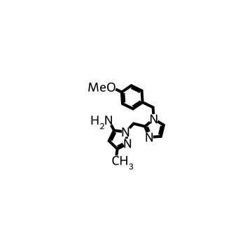 COc1ccc(Cn2ccnc2Cn2nc(C)cc2N)cc1